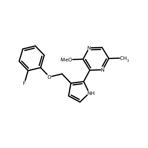 COc1ncc(C)nc1-c1[nH]ccc1COc1ccccc1F